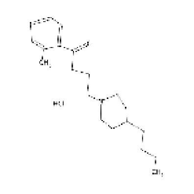 CCCCC1CCN(CCCC(=O)c2ccccc2C)CC1.Cl